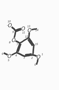 COc1cc(OC)c(OC([O])=O)c(OC)c1